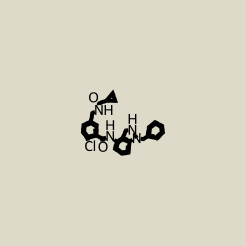 O=C(Nc1cccc2c1CNN2Cc1ccccc1)c1cc(CNC(=O)C2CC2)ccc1Cl